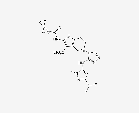 CCOC(=O)c1c(NC(=O)[C@H]2CC23CC3)sc2c1C[C@@H](n1cnnc1Nc1cc(C(F)F)nn1C)CC2